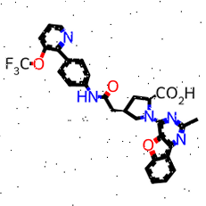 Cc1nc(N2C[C@@H](CC(=O)Nc3ccc(-c4ncccc4OC(F)(F)F)cc3)C[C@H]2C(=O)O)c2oc3ccccc3c2n1